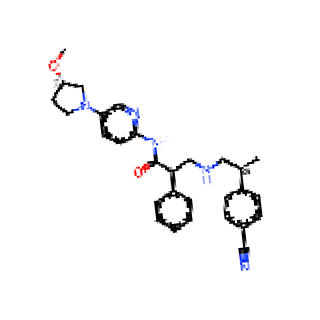 CO[C@H]1CCN(c2ccc(NC(=O)C(CNC[C@@H](C)c3ccc(C#N)cc3)c3ccccc3)nc2)C1